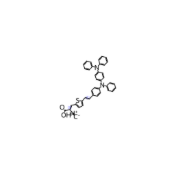 [C-]#[N+]/C(=C\c1ccc(/C=C/c2ccc(N(c3ccccc3)c3ccc(N(c4ccccc4)c4ccccc4)cc3)cc2)s1)C(=O)O